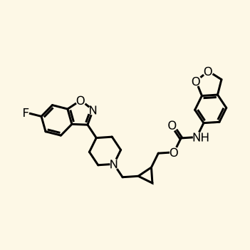 O=C(Nc1ccc2c(c1)OOC2)OCC1CC1CN1CCC(c2noc3cc(F)ccc23)CC1